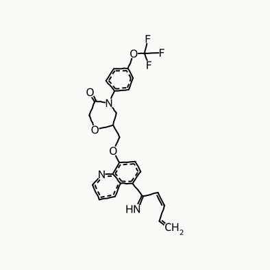 C=C/C=C\C(=N)c1ccc(OCC2CN(c3ccc(OC(F)(F)F)cc3)C(=O)CO2)c2ncccc12